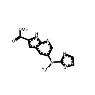 COC(=O)c1cc2cc(N(C)c3nccs3)cnc2[nH]1